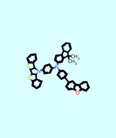 CC1(C)c2cc(N(c3ccc(-c4ccc5oc6ccccc6c5c4)cc3)c3ccc(N4C5c6ccccc6SC5C5Sc6ccccc6C54)cc3)ccc2C2C=CC=CC21